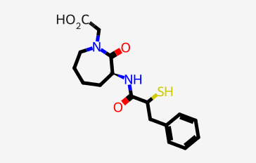 O=C(O)CN1CCCC[C@H](NC(=O)C(S)Cc2ccccc2)C1=O